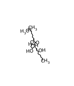 CCCCC[C@H](O)/C=C/[C@@H]1[C@H]2C(=O)/C(=C/CCCCN(C)C)O[C@H]2C[C@H]1O